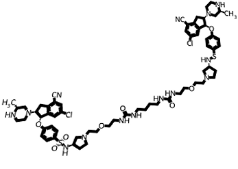 C[C@H]1CN([C@H]2Cc3c(C#N)cc(Cl)cc3[C@@H]2Oc2ccc(SN[C@@H]3CCN(CCOCCNC(=O)NCCCCNC(=O)NCCOCCN4CC[C@@H](NS(=O)(=O)c5ccc(O[C@H]6c7cc(Cl)cc(C#N)c7C[C@@H]6N6CCN[C@@H](C)C6)cc5)C4)C3)cc2)CCN1